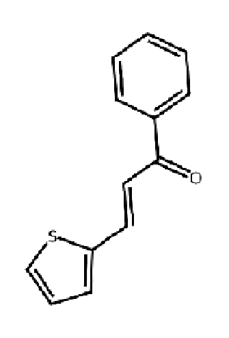 O=C(C=Cc1cccs1)c1ccccc1